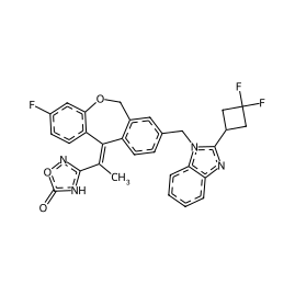 CC(=C1c2ccc(Cn3c(C4CC(F)(F)C4)nc4ccccc43)cc2COc2cc(F)ccc21)c1noc(=O)[nH]1